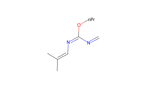 C=N/C(=N\C=C(C)C)OCCC